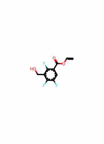 C=COC(=O)c1cc(F)c(F)c(CO)c1F